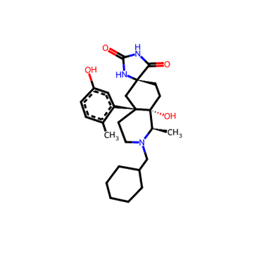 Cc1ccc(O)cc1[C@]12CCN(CC3CCCCC3)[C@H](C)[C@]1(O)CC[C@@]1(C2)NC(=O)NC1=O